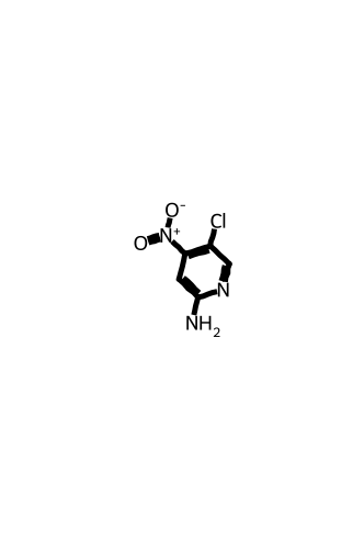 Nc1cc([N+](=O)[O-])c(Cl)cn1